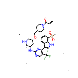 C=CC(=O)N1CCC(CO[C@H]2CNC[C@@H](Nc3ncc(C(F)(F)F)c(-c4c[nH]c5c(S(C)(=O)=O)cccc45)n3)C2)CC1